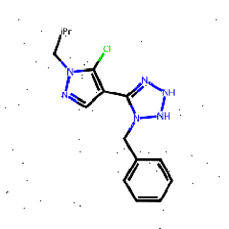 CC(C)Cn1ncc(C2=NNNN2Cc2ccccc2)c1Cl